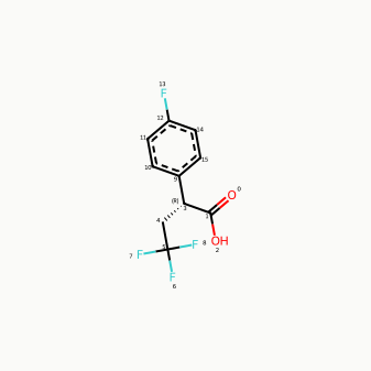 O=C(O)[C@H](CC(F)(F)F)c1ccc(F)cc1